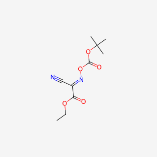 CCOC(=O)/C(C#N)=N/OC(=O)OC(C)(C)C